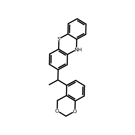 CC(c1ccc2c(c1)Nc1ccccc1S2)c1cccc2c1COCO2